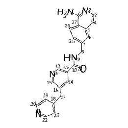 Nc1nccc2cc(CNC(=O)c3cncc(Cc4ccncc4)c3)ccc12